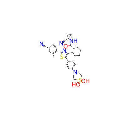 Cc1cc(C#N)ccc1-c1nc([C@@H]2CCCC[C@H]2C(=O)NC2(C#N)CC2)c(-c2ccc(N3CCS(O)(O)CC3)cc2)s1